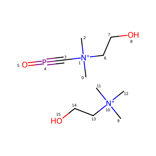 C[N+](C)(C#P=O)CCO.C[N+](C)(C)CCO